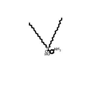 CCCCCCCCCCCCCCCCCCN(CCCCCCCCCCCCCCCCCC)C(=O)c1cc(N)ccc1O